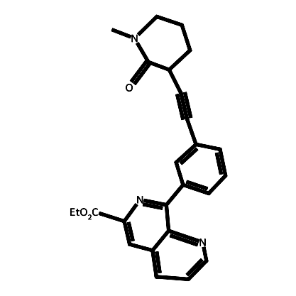 CCOC(=O)c1cc2cccnc2c(-c2cccc(C#CC3CCCN(C)C3=O)c2)n1